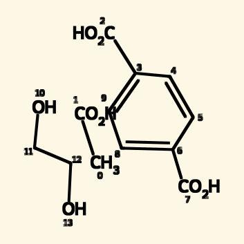 CC(=O)O.O=C(O)c1ccc(C(=O)O)cc1.OCCO